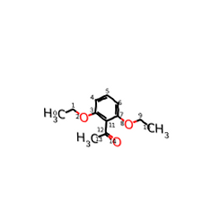 CCOc1cccc(OCC)c1C(C)=O